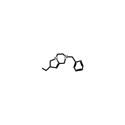 CCC1C=C2CN(Cc3ccccc3)CCN2C1